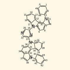 c1ccc(-n2ccc3ccc4c(c5ccccc5n4-c4cncc(-n5c6ccccc6c6c7c(ccc65)ccn7-c5ccccc5)n4)c32)cc1